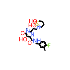 Cc1cc(CNC(=O)c2nc(CCN3CCCCS3(O)O)n(C)c(=O)c2O)ccc1F